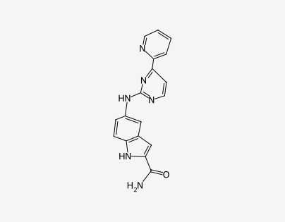 NC(=O)c1cc2cc(Nc3nccc(-c4ccccn4)n3)ccc2[nH]1